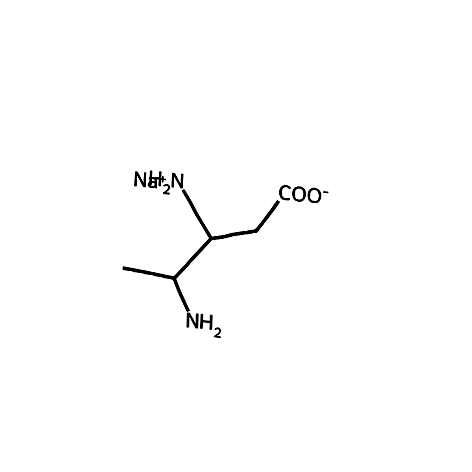 CC(N)C(N)CC(=O)[O-].[Na+]